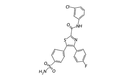 NS(=O)(=O)c1ccc(-c2sc(C(=O)Nc3cccc(Cl)c3)nc2-c2ccc(F)cc2)cc1